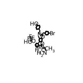 CC(C)(CN)CNC(=O)c1ccccc1-c1cccc(CN(CCc2ccc(O)cc2)C(=O)Cc2ccc(Br)cc2)c1.O=C(O)C(F)(F)F